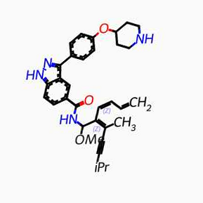 C=C/C=C\C(=C(/C)C#CC(C)C)C(NC(=O)c1ccc2[nH]nc(-c3ccc(OC4CCNCC4)cc3)c2c1)OC